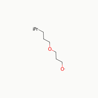 CC(C)CCCOCCC[O]